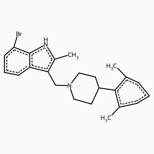 Cc1cccc(C)c1C1CCN(Cc2c(C)[nH]c3c(Br)cccc23)CC1